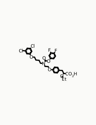 CCOC(Cc1ccc(OCCN(CCCCOc2cc(Cl)cc(Cl)c2)C(=O)Oc2ccc(F)c(F)c2)cc1)C(=O)O